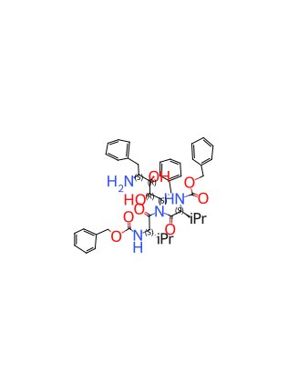 CC(C)[C@H](NC(=O)OCc1ccccc1)C(=O)N(C(=O)[C@@H](NC(=O)OCc1ccccc1)C(C)C)[C@@H](Cc1ccccc1)[C@@H](O)[C@H](O)[C@@H](N)Cc1ccccc1